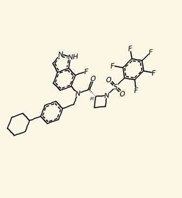 O=C([C@H]1CCN1S(=O)(=O)c1c(F)c(F)c(F)c(F)c1F)N(Cc1ccc(C2CCCCC2)cc1)c1ccc2cn[nH]c2c1F